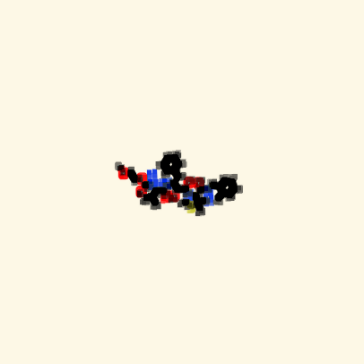 COCCOC(=O)N[C@H](C(=O)N[C@@H](Cc1ccccc1)[C@H](O)C(=O)N1CSC(C)(C)[C@H]1C(=O)NCc1ccccc1C)C(C)C